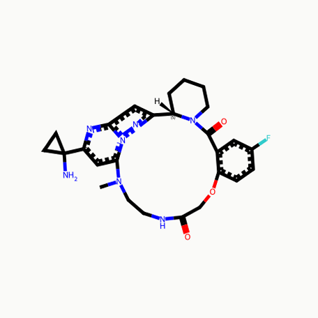 CN1CCNC(=O)COc2ccc(F)cc2C(=O)N2CCCC[C@H]2c2cc3nc(C4(N)CC4)cc1n3n2